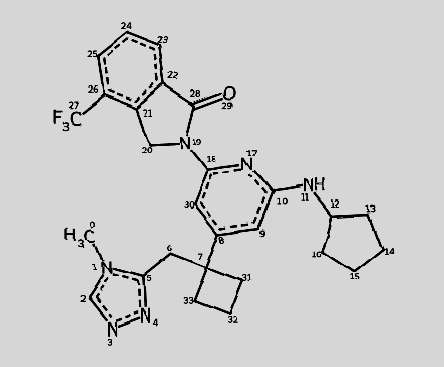 Cn1cnnc1CC1(c2cc(NC3CCCC3)nc(N3Cc4c(cccc4C(F)(F)F)C3=O)c2)CCC1